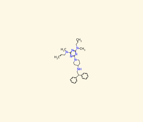 C=CCN(C)c1nc(N(C)CC=C)nc(N2CCC(NCC(c3ccccc3)c3ccccc3)CC2)n1